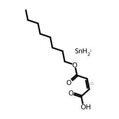 CCCCCCCCOC(=O)/C=C\C(=O)O.[SnH2]